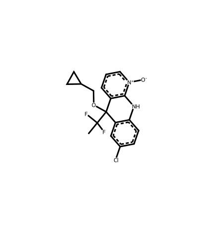 CC(F)(F)C1(OCC2CC2)c2cc(Cl)ccc2Nc2c1ccc[n+]2[O-]